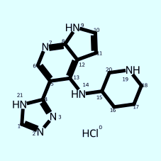 Cl.c1nnc(-c2cnc3[nH]ccc3c2NC2CCCNC2)[nH]1